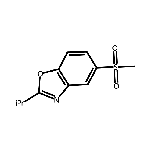 CC(C)c1nc2cc(S(C)(=O)=O)ccc2o1